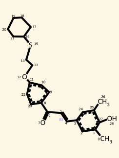 Cc1cc(/C=C/C(=O)c2ccc(OCCSC3CCCCC3)cc2)cc(C)c1O